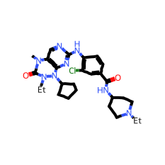 CCN1CCC(NC(=O)c2ccc(Nc3ncc4c(n3)N(C3CCCC3)N(CC)C(=O)N4C)c(Cl)c2)CC1